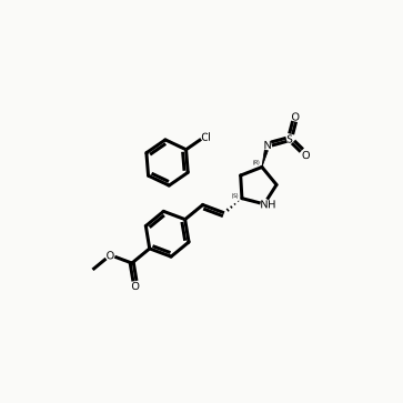 COC(=O)c1ccc(C=C[C@@H]2C[C@@H](N=S(=O)=O)CN2)cc1.Clc1ccccc1